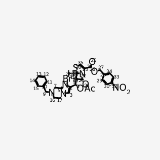 CC(=O)OC(c1cn2c(n1)CN(Cc1ccccc1)CC2)[C@]1(Br)C(=O)N2C(C(=O)OCc3ccc([N+](=O)[O-])cc3)=CS[C@H]21